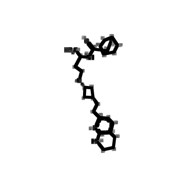 O=C(O)C(CCO[C@H]1C[C@H](CCc2ccc3c(n2)NCCC3)C1)NC(=O)C1CC2CCC1CC2